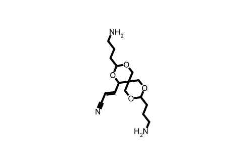 N#CC=CC1OC(CCCN)OCC12COC(CCCN)OC2